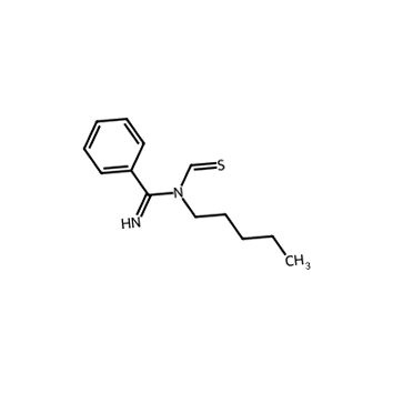 CCCCCN(C=S)C(=N)c1ccccc1